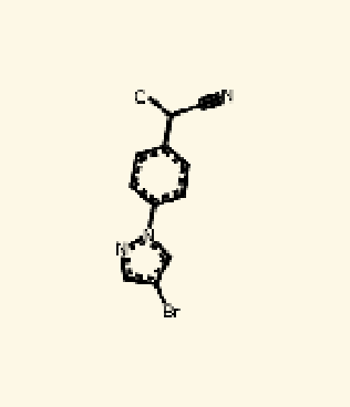 N#CC(Cl)c1ccc(-n2cc(Br)cn2)cc1